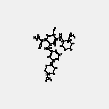 CN1CCN(c2cncc(Nc3nc(NC4CCCC[C@@H]4N)c(F)cc3C(N)=O)c2)CC1